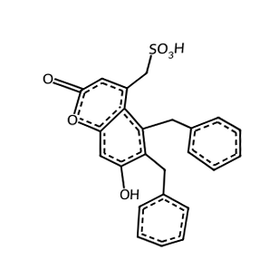 O=c1cc(CS(=O)(=O)O)c2c(Cc3ccccc3)c(Cc3ccccc3)c(O)cc2o1